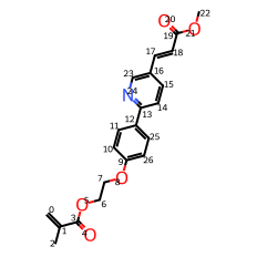 C=C(C)C(=O)OCCOc1ccc(-c2ccc(C=CC(=O)OC)cn2)cc1